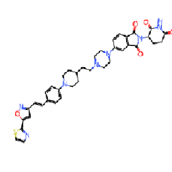 O=C1CCC(N2C(=O)c3ccc(N4CCN(CCC5CCN(c6ccc(/C=C/c7cc(-c8nccs8)on7)cc6)CC5)CC4)cc3C2=O)C(=O)N1